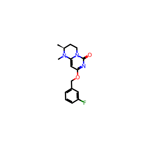 C[C@H]1CCn2c(cc(OCc3cccc(F)c3)nc2=O)N1C